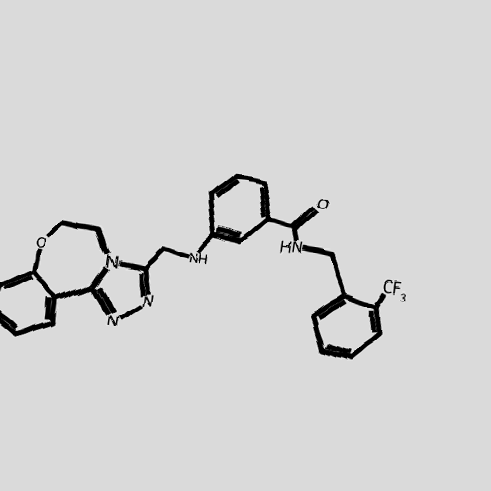 O=C(NCc1ccccc1C(F)(F)F)c1cccc(NCc2nnc3n2CCOc2ccccc2-3)c1